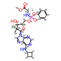 COC(=O)[C@H](C)NP(=O)(OC[C@H]1O[C@@H](n2cnc3c(NC4CCC4)ncnc32)[C@](C)(F)[C@@H]1O)Oc1ccccc1